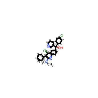 CN(C)c1nc2ccc(C(O)(c3ccc(Cl)cc3)c3cccnc3)cc2c(Cl)c1-c1ccccc1